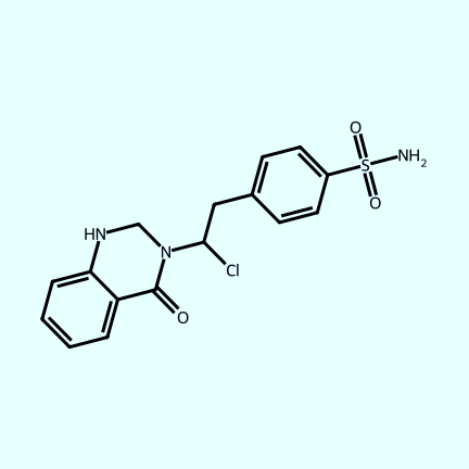 NS(=O)(=O)c1ccc(CC(Cl)N2CNc3ccccc3C2=O)cc1